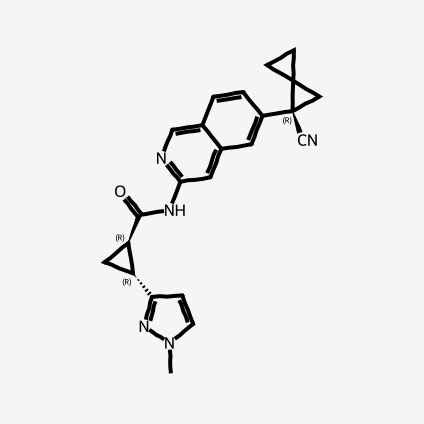 Cn1ccc([C@@H]2C[C@H]2C(=O)Nc2cc3cc([C@@]4(C#N)CC45CC5)ccc3cn2)n1